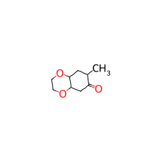 CC1CC2OCCOC2CC1=O